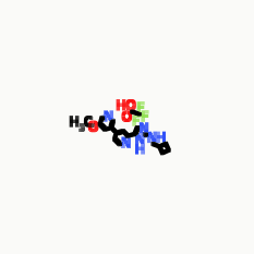 COc1cncc(-c2ccnc(-c3cnc(NCC4CCC4)[nH]3)c2)c1.O=C(O)C(F)(F)F